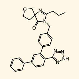 CCCC1=NC2(CCOC2)C(=O)N1Cc1ccc(-c2cc(-c3ccccc3)ccc2-c2nn[nH]n2)cc1